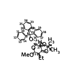 CC[C@H]1C(OC)O[C@H](COC(c2ccccc2)(c2ccccc2)c2ccccc2)[C@@H]2OC(C)(C)OC12